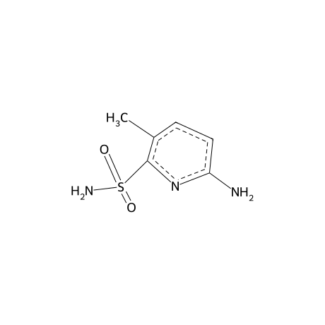 Cc1ccc(N)nc1S(N)(=O)=O